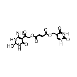 NC1=C(C(=O)COC(=O)/C=C/C(=O)OCc2c[nH]c(=O)[nH]c2=O)C(=O)NC(O)N1